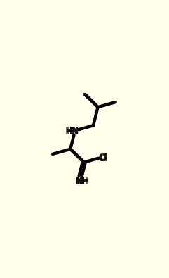 CC(C)CNC(C)C(=N)Cl